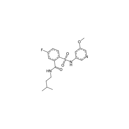 COc1cncc(NS(=O)(=O)c2ccc(F)cc2C(=O)NCCC(C)C)c1